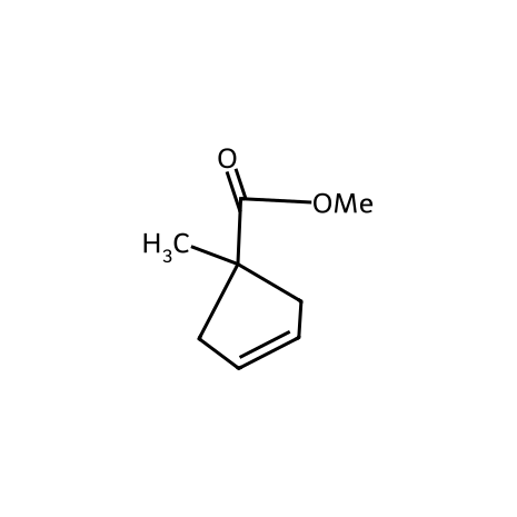 COC(=O)C1(C)CC=CC1